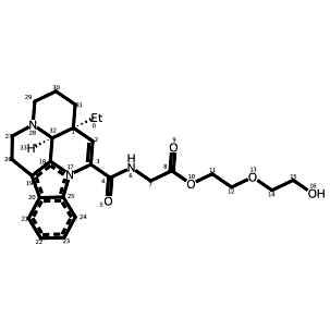 CC[C@@]12C=C(C(=O)NCC(=O)OCCOCCO)n3c4c(c5ccccc53)CCN(CCC1)[C@H]42